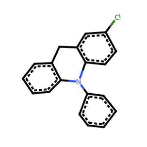 Clc1ccc2c(c1)Cc1ccccc1N2c1ccccc1